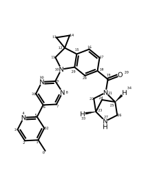 Cc1ccnc(-c2cnc(N3CC4(CC4)c4ccc(C(=O)N5C[C@@H]6C[C@H]5CN6)cc43)nc2)c1